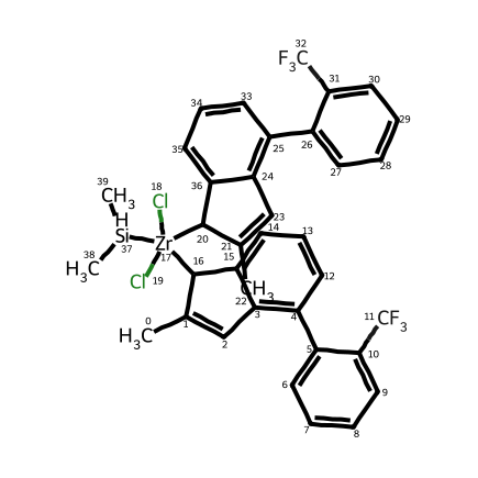 CC1=Cc2c(-c3ccccc3C(F)(F)F)cccc2[CH]1[Zr]([Cl])([Cl])([CH]1C(C)=Cc2c(-c3ccccc3C(F)(F)F)cccc21)[SiH](C)C